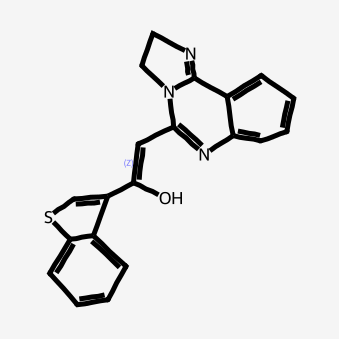 O/C(=C\C1=Nc2ccccc2C2=NCCN12)c1csc2ccccc12